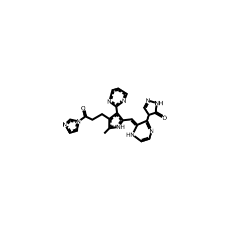 Cc1[nH]c(C=C2NC=CN=C2C2C=NNC2=O)c(-c2ncccn2)c1CCC(=O)n1ccnc1